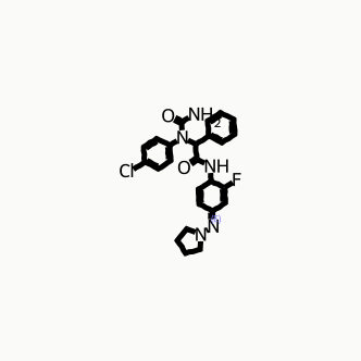 NC(=O)N(c1ccc(Cl)cc1)C(C(=O)NC1C=C/C(=N\N2CCCC2)C=C1F)c1ccccc1